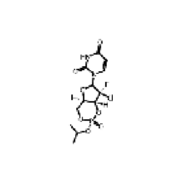 CC(C)O[P@]1(=O)OC[C@H]2O[C@@H](n3ccc(=O)[nH]c3=O)[C@@](F)(Cl)[C@@H]2O1